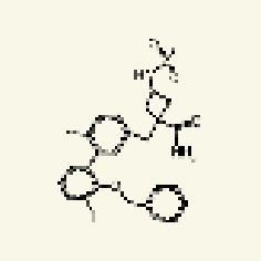 CS(=O)(=O)NC1CC(Cc2ccc(F)c(-c3cccc(F)c3OCc3ccccc3)c2)(C(N)=O)C1